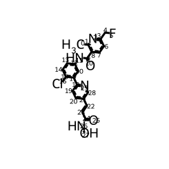 Cc1nc(CF)ccc1C(=O)Nc1ccc(Cl)c(-c2ccc(/C=C/C(=O)NO)cn2)c1